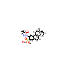 CC(C)(C)C(=O)Nc1cc2c(cc1S(=O)(=O)O)CCC1C2CC[C@]2(C)C=CCC12